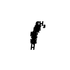 Cc1cn2nc(-c3cnc4cc(C5CCNCC5)sc4c3)ccc2n1